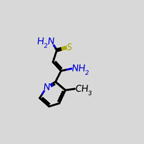 Cc1cccnc1/C(N)=C/C(N)=S